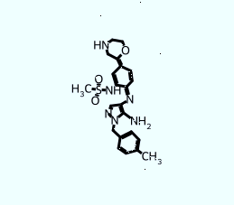 Cc1ccc(Cn2ncc(/N=C3C=C/C(=C4/CNCCO4)C=C/3NS(C)(=O)=O)c2N)cc1